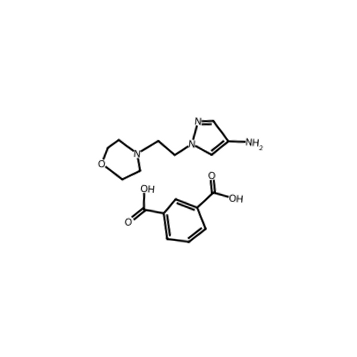 Nc1cnn(CCN2CCOCC2)c1.O=C(O)c1cccc(C(=O)O)c1